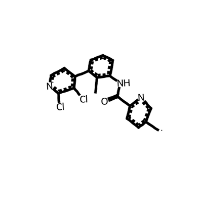 [CH2]c1ccc(C(=O)Nc2cccc(-c3ccnc(Cl)c3Cl)c2C)nc1